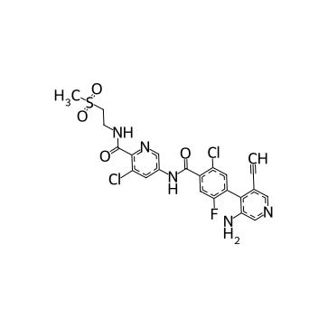 C#Cc1cncc(N)c1-c1cc(Cl)c(C(=O)Nc2cnc(C(=O)NCCS(C)(=O)=O)c(Cl)c2)cc1F